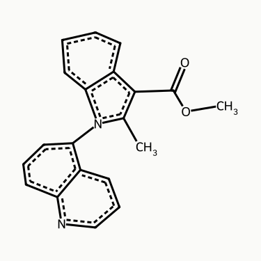 COC(=O)c1c(C)n(-c2cccc3ncccc23)c2ccccc12